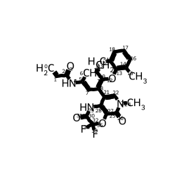 C=CC(=O)N/C(C)=C/C(=C(\C=C)Oc1c(C)cccc1C)c1cn(C)c(=O)c2c1NC(=O)C(F)(F)O2